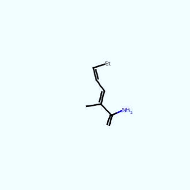 C=C(N)/C(C)=C/C=C\CC